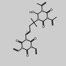 C=Cn1c(=O)n(C=C)c(=O)n(/C=C/CC(C)(C)N2C(=O)N(C(=C)C)C(=O)N(C(=C)C)C2O)c1=O